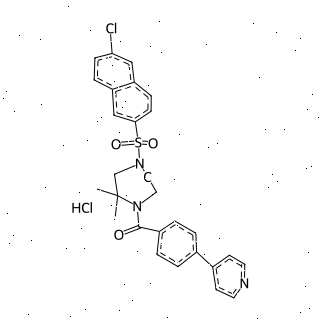 CC1(C)CN(S(=O)(=O)c2ccc3cc(Cl)ccc3c2)CCN1C(=O)c1ccc(-c2ccncc2)cc1.Cl